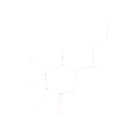 CC=CC(C)C1OC(=O)C(C)(C)C(=O)C1C